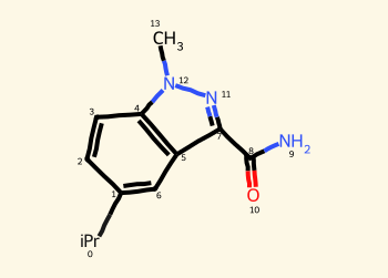 CC(C)c1ccc2c(c1)c(C(N)=O)nn2C